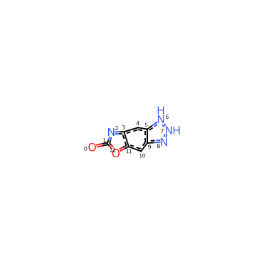 O=c1nc2cc3[nH][nH]nc3cc2o1